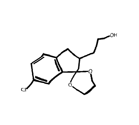 OCCC1Cc2ccc(Cl)cc2C12OCCO2